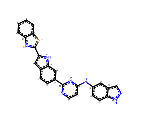 c1ccc2sc(-c3cc4ccc(-c5nccc(Nc6ccc7[nH]ncc7c6)n5)cc4[nH]3)nc2c1